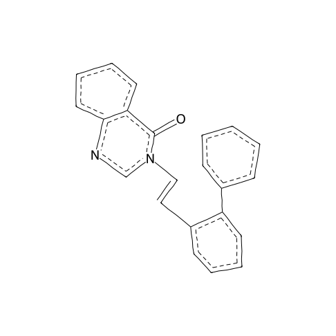 O=c1c2ccccc2ncn1C=Cc1ccccc1-c1ccccc1